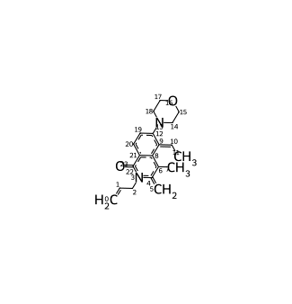 C=CCn1c(=C)c(C)c2/c(=C\C)c(N3CCOCC3)ccc2c1=O